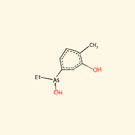 CC[As](O)c1ccc(C)c(O)c1